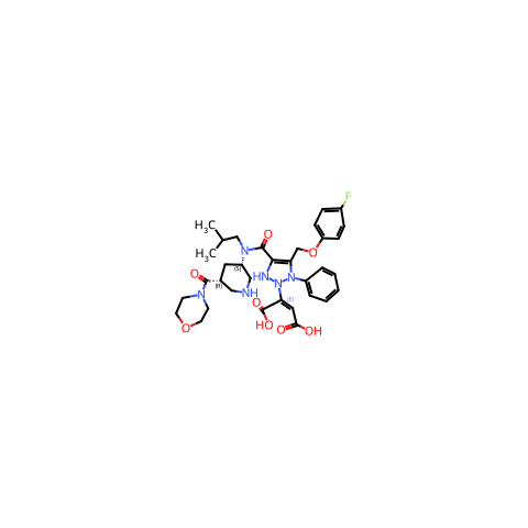 CC(C)CN(C(=O)C1=C(COc2ccc(F)cc2)N(c2ccccc2)N(/C(=C/C(=O)O)C(=O)O)N1)[C@@H]1CNC[C@H](C(=O)N2CCOCC2)C1